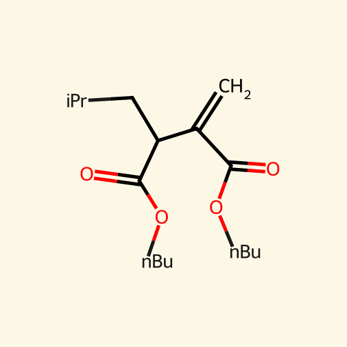 C=C(C(=O)OCCCC)C(CC(C)C)C(=O)OCCCC